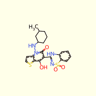 CC1CCCC(Nn2c(=O)c(C3=NS(=O)(=O)c4ccccc4N3)c(O)c3sccc32)C1